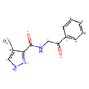 O=C(CNC(=O)c1n[nH]cc1[N+](=O)[O-])c1ccccc1